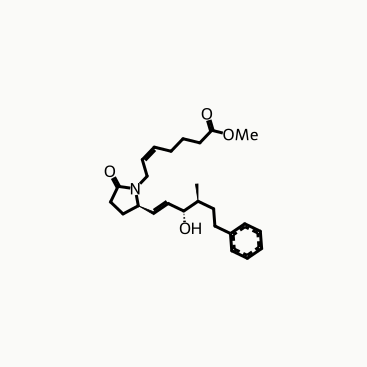 COC(=O)CCC/C=C\CN1C(=O)CC[C@@H]1/C=C/[C@@H](O)[C@@H](C)CCc1ccccc1